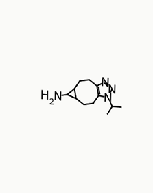 CC(C)n1nnc2c1CCC1C(N)C1CC2